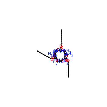 C#CC#CC#CC#CC#CC#CC#CC#COC(=O)Cc1cc2cc(c1)C(=O)NC1CC(C(=O)Nc3cc(CC(=O)OC#CC#CC#CC#CC#CC#CC#CC#C)cc(c3)C(=O)NC3CC(C(=O)Nc4cc(CC(=O)OCC#CC#CC#CC#CC#CC#CC#CC)cc(c4)C(=O)NC4CC(C(=O)N2)C(N)CC4N)C(N)CC3N)C(N)CC1N